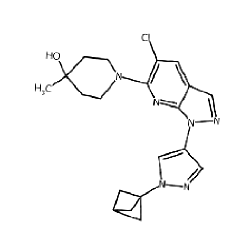 CC1(O)CCN(c2nc3c(cnn3-c3cnn(C45CC(C4)C5)c3)cc2Cl)CC1